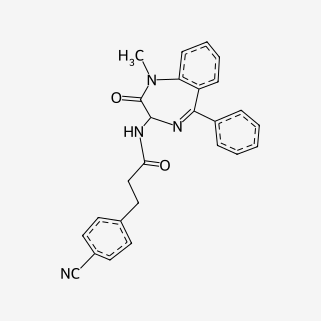 CN1C(=O)C(NC(=O)CCc2ccc(C#N)cc2)N=C(c2ccccc2)c2ccccc21